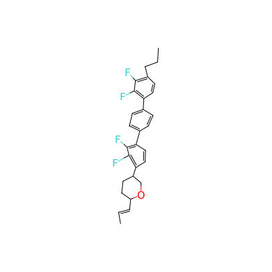 C/C=C/C1CCC(c2ccc(-c3ccc(-c4ccc(CCC)c(F)c4F)cc3)c(F)c2F)CO1